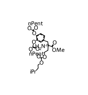 CCCCCOC(=O)Oc1ccc(C[C@](N)(CCOC(=O)OCCC(C)C)C(=O)OC)cc1OC(=O)OCCCCC